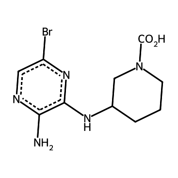 Nc1ncc(Br)nc1NC1CCCN(C(=O)O)C1